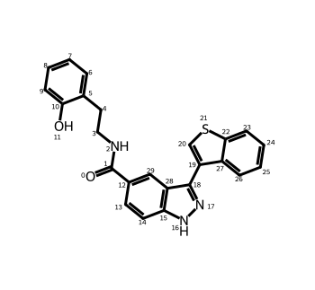 O=C(NCCc1ccccc1O)c1ccc2[nH]nc(-c3csc4ccccc34)c2c1